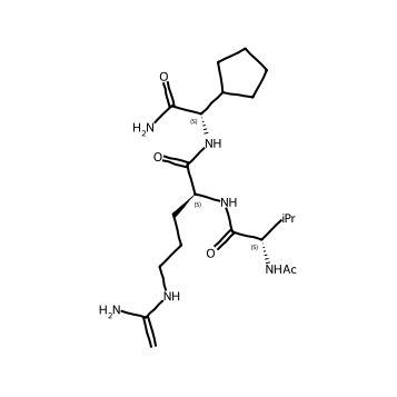 C=C(N)NCCC[C@H](NC(=O)[C@@H](NC(C)=O)C(C)C)C(=O)N[C@H](C(N)=O)C1CCCC1